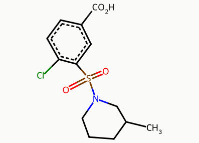 CC1CCCN(S(=O)(=O)c2cc(C(=O)O)ccc2Cl)C1